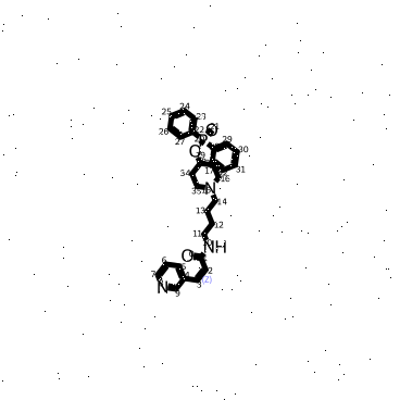 O=C(/C=C\c1cccnc1)NCCCCN1CCC(OP(=O)(c2ccccc2)c2ccccc2)CC1